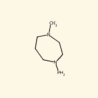 CN1CCCN(P)CC1